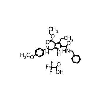 CCOC(=O)c1c(CNc2ccc(OC)cc2)[nH]c(C(=O)NCc2ccccc2)c1CC.O=C(O)C(F)(F)F